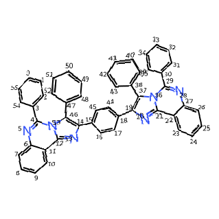 c1ccc(-c2nc3ccccc3c3nc(-c4ccc(-c5nc6c7ccccc7nc(-c7ccccc7)n6c5-c5ccccc5)cc4)c(-c4ccccc4)n23)cc1